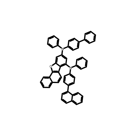 c1ccc(-c2ccc(N(c3ccccc3)c3cc(N(c4ccccc4)c4ccc(-c5cccc6ccccc56)cc4)c4c(c3)oc3c5ccccc5ccc34)cc2)cc1